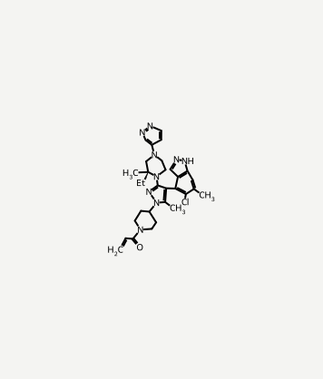 C=CC(=O)N1CCC(n2nc(N3CCN(c4ccnnc4)C[C@]3(C)CC)c(-c3c(Cl)c(C)cc4[nH]ncc34)c2C)CC1